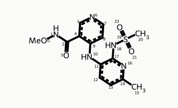 CONC(=O)c1cnccc1Nc1ccc(C)nc1NS(C)(=O)=O